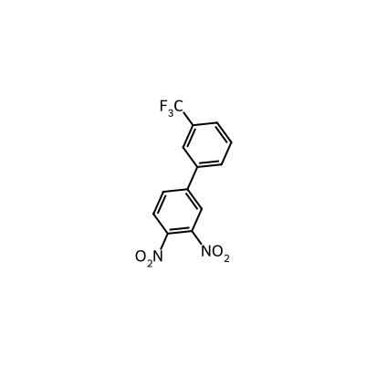 O=[N+]([O-])c1ccc(-c2cccc(C(F)(F)F)c2)cc1[N+](=O)[O-]